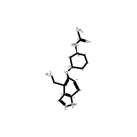 CCc1c(O[C@@H]2CCC[C@H](NC(C)=O)C2)ccc2[nH]ncc12